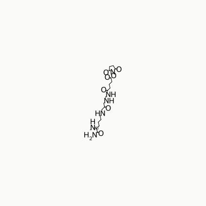 CN[C@@H](CCCCNCC(=O)CNCNC(=O)CCCC(=O)ON1C(=O)CCC1=O)C(N)=O